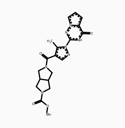 Cc1c(C(=O)N2CC3CN(C(=O)OC(C)(C)C)CC3C2)cnn1-c1nn2cccc2c(=O)[nH]1